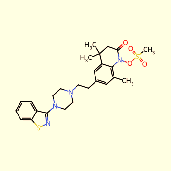 Cc1cc(CCN2CCN(c3nsc4ccccc34)CC2)cc2c1N(OS(C)(=O)=O)C(=O)CC2(C)C